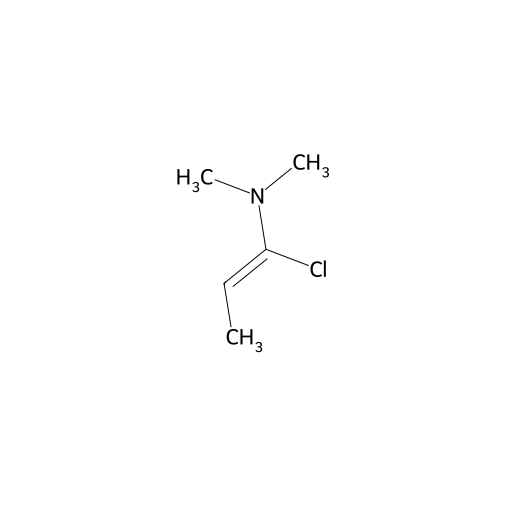 CC=C(Cl)N(C)C